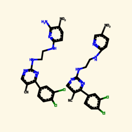 N#Cc1cnc(NCCNc2ccc([N+](=O)[O-])c(N)n2)nc1-c1ccc(Cl)c(Cl)c1.N#Cc1cnc(NCCNc2ccc([N+](=O)[O-])cn2)nc1-c1ccc(Cl)c(Cl)c1